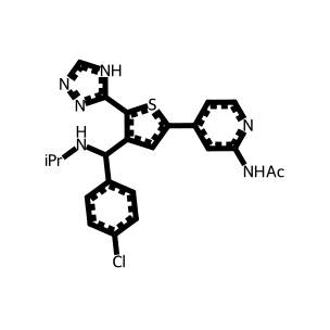 CC(=O)Nc1cc(-c2cc(C(NC(C)C)c3ccc(Cl)cc3)c(-c3nnc[nH]3)s2)ccn1